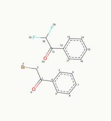 O=C(CBr)c1ccccc1.O=C(c1ccccc1)C(F)F